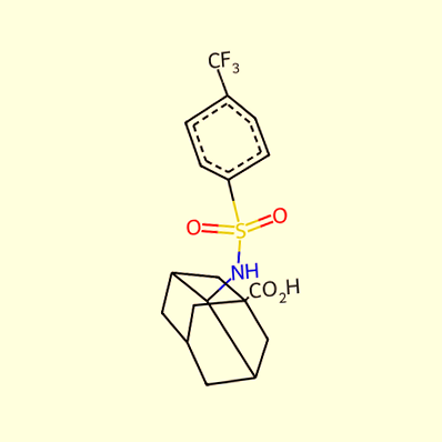 O=C(O)C12CC3CC(C1)C(NS(=O)(=O)c1ccc(C(F)(F)F)cc1)C(C3)C2